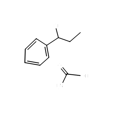 CCC(O)c1ccccc1.NC(=O)O